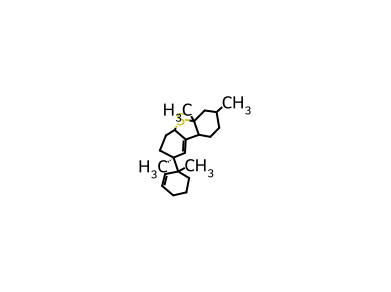 CC1CCC2C3=C[C@@](C)(C4(C)C=CCCC4)CCC3SC2(C)C1